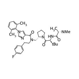 CN[C@@H](C)C(=O)N[C@H](C(=O)N1CCC[C@H]1CN(CCc1ccc(F)cc1)C(=O)c1cn(-c2c(C)cccc2C)cn1)C(C)(C)C